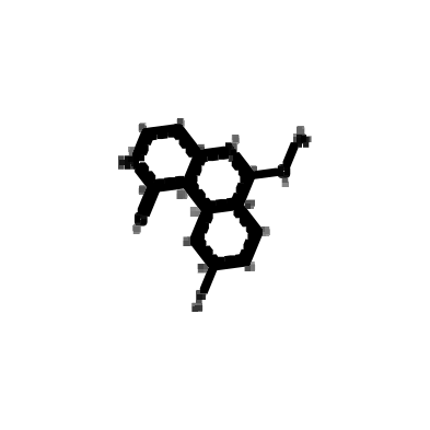 CC(C)Oc1nc2cc[nH]c(=O)c2c2cc(F)ccc12